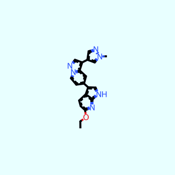 CCOc1ccc2c(-c3ccn4ncc(-c5cnn(C)c5)c4c3)c[nH]c2n1